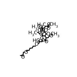 COC(=O)CC(C(=O)OCC(O)COCCCCCCOCC1CO1)C(CC(=O)OC(C(=O)OC)C(C)C(=O)OC)C(=O)OCC(C)O